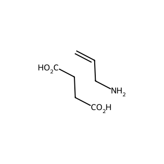 C=CCN.O=C(O)CCC(=O)O